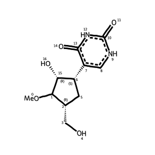 COC1[C@@H](CO)C[C@@H](c2c[nH]c(=O)[nH]c2=O)[C@H]1O